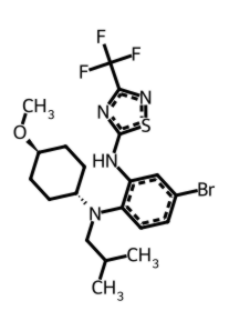 CO[C@H]1CC[C@H](N(CC(C)C)c2ccc(Br)cc2Nc2nc(C(F)(F)F)ns2)CC1